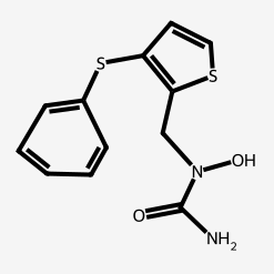 NC(=O)N(O)Cc1sccc1Sc1ccccc1